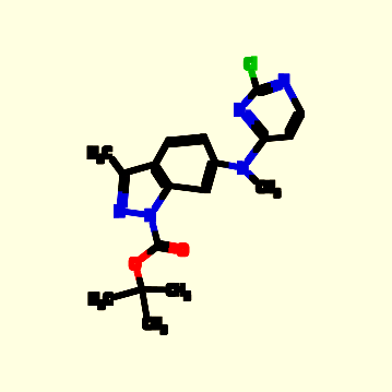 Cc1nn(C(=O)OC(C)(C)C)c2cc(N(C)c3ccnc(Cl)n3)ccc12